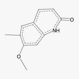 COc1cc2[nH]c(=O)ccc2cc1C